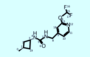 C[C@H]1C[C@H](NC(=O)NCc2ccnc(OC(F)F)c2)C1